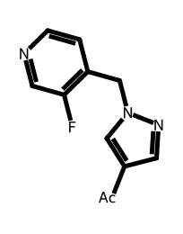 CC(=O)c1cnn(Cc2ccncc2F)c1